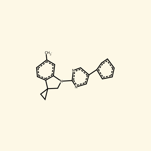 [CH2]c1ccc2c(c1)N(c1ncc(-c3ccccc3)cn1)CC21CC1